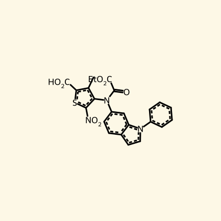 CCOC(=O)C(=O)N(c1ccc2ccn(-c3ccccc3)c2c1)c1c([N+](=O)[O-])sc(C(=O)O)c1C